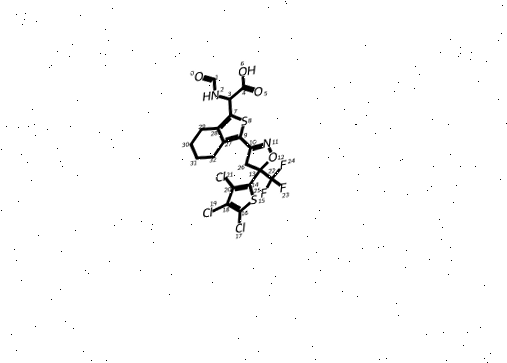 O=CNC(C(=O)O)c1sc(C2=NOC(c3sc(Cl)c(Cl)c3Cl)(C(F)(F)F)C2)c2c1CCCC2